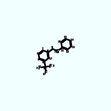 FC(F)(F)c1cccc(CSc2ccccc2)c1